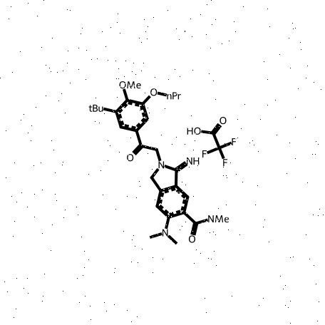 CCCOc1cc(C(=O)CN2Cc3cc(N(C)C)c(C(=O)NC)cc3C2=N)cc(C(C)(C)C)c1OC.O=C(O)C(F)(F)F